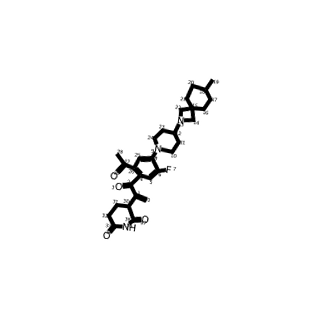 C=C(C(=O)c1cc(F)c(N2CCC(N3CC4(CCC(C)CC4)C3)CC2)cc1C(C)=O)C1CCC(=O)NC1=O